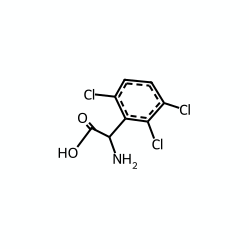 NC(C(=O)O)c1c(Cl)ccc(Cl)c1Cl